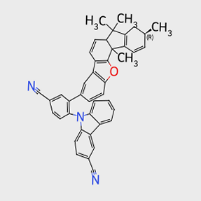 C[C@H]1C=CC2=C(C1)C(C)(C)C1C=Cc3c(oc4ccc(-c5cc(C#N)ccc5-n5c6ccccc6c6cc(C#N)ccc65)cc34)C21C